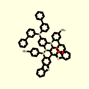 CC(C)(C)c1ccc(N2B3c4ccc(N(c5cccc(-c6ccccc6)c5)c5cccc(-c6ccccc6)c5)cc4N(c4ccc(C(C)(C)C)cc4-c4ccccc4)c4cc5c(oc6ccccc65)c(c43)-c3cc4sc5ccccc5c4cc32)cc1